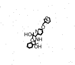 CC(C)(O)[C@H](NC(=O)[C@](C)(O)c1ccccc1)c1ccc(OCC23CCC(CC2)CC3)cn1